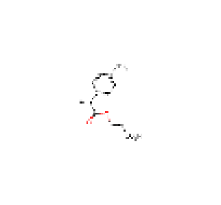 C=C(C(=O)OCCC(=O)O)c1ccc([N+](=O)[O-])cc1